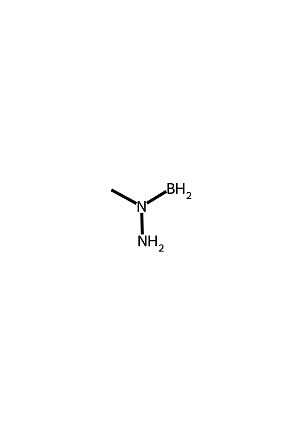 BN(C)N